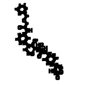 O=C(COCc1ccccc1)Nc1cccc(N2CCO[C@H]([C@@H](O)C(=O)Nc3ccc(-c4noc(=O)[nH]4)cc3)C2=O)c1